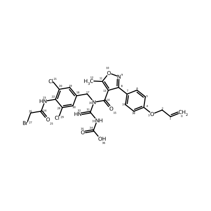 C=CCOc1ccc(-c2noc(C)c2C(=O)N(Cc2cc(Cl)c(NC(=O)CBr)c(Cl)c2)C(=N)NC(=O)O)cc1